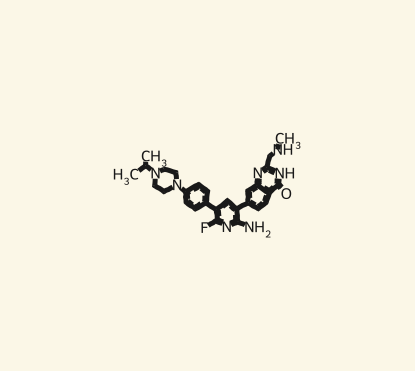 CNCc1nc2cc(-c3cc(-c4ccc(N5CCN(C(C)C)CC5)cc4)c(F)nc3N)ccc2c(=O)[nH]1